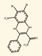 NC(=O)C1=C(c2ccccc2)Nc2c(cc(Br)c(Br)c2[N+](=O)[O-])N1